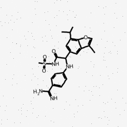 Cc1coc2c(C(C)C)cc(C(Nc3ccc(C(=N)N)cc3)C(=O)NS(C)(=O)=O)cc12